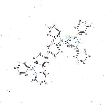 Cc1ccc2c(c1)c1cc(-c3ccc4c(c3)c3ccccc3n4-c3ccccc3)ccc1n2C1N=C(c2ccccc2)NC(c2ccccc2)N1